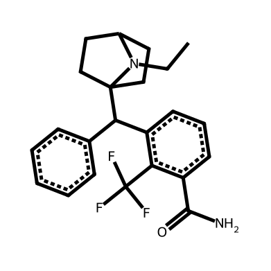 CCN1C2CCC1(C(c1ccccc1)c1cccc(C(N)=O)c1C(F)(F)F)CC2